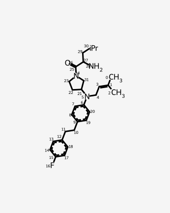 CC(C)=CCN(c1ccc(CCc2ccc(F)cc2)cc1)C1CCN(C(=O)C(N)CC(C)C)C1